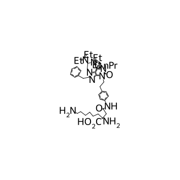 CCCn1c(=O)c2c(nc(Cc3ccccc3)n2CC(N(CC)CC)N(CC)CC)n(CCc2ccc(NC(=O)CC(N)(CCCCCCN)C(=O)O)cc2)c1=O